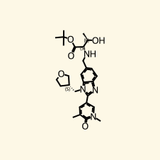 Cc1cc(-c2nc3ccc(CN[C@H](C(=O)OC(C)(C)C)[C@@H](C)O)cc3n2C[C@@H]2CCOC2)cn(C)c1=O